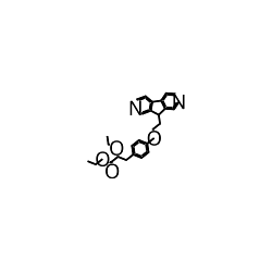 CCOC(=O)C(Cc1ccc(OCCC2c3cnccc3-c3ccncc32)cc1)OCC